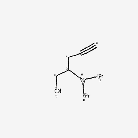 C#CCC(CC#N)N(C(C)C)C(C)C